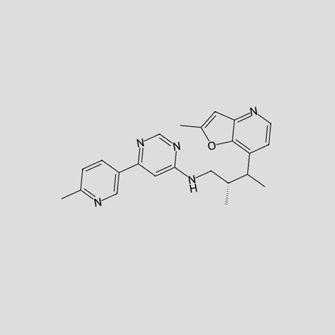 Cc1ccc(-c2cc(NC[C@@H](C)C(C)c3ccnc4cc(C)oc34)ncn2)cn1